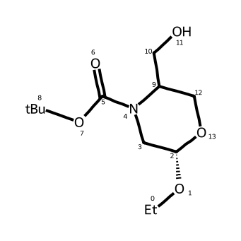 CCO[C@@H]1CN(C(=O)OC(C)(C)C)C(CO)CO1